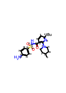 CC1CCN(c2nc(C(C)(C)C)ccc2C(=O)NS(=O)(=O)c2ccc(N)cc2)CC1